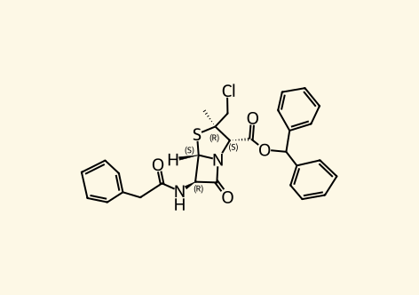 C[C@@]1(CCl)S[C@H]2[C@H](NC(=O)Cc3ccccc3)C(=O)N2[C@H]1C(=O)OC(c1ccccc1)c1ccccc1